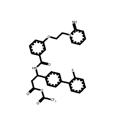 N=c1ccccn1CCOc1cccc(C(=O)NC(CC(=O)OC(=O)C(F)(F)F)c2ccc(-c3ccccc3F)cc2)c1